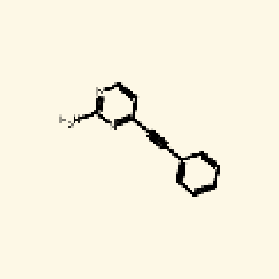 Nc1nccc(C#Cc2ccccc2)n1